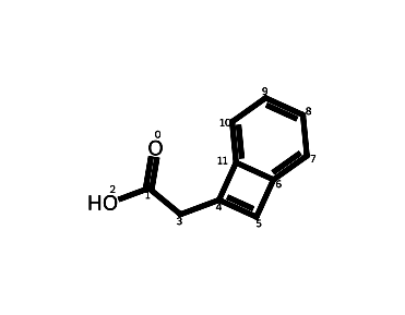 O=C(O)CC1=Cc2ccccc21